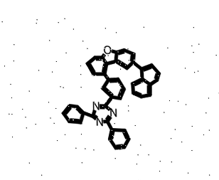 c1ccc(-c2nc(-c3ccccc3)nc(-c3cccc(-c4cccc5oc6ccc(-c7cccc8ccccc78)cc6c45)c3)n2)cc1